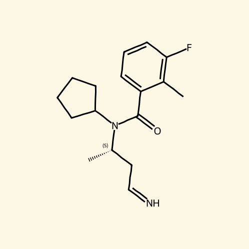 Cc1c(F)cccc1C(=O)N(C1CCCC1)[C@@H](C)CC=N